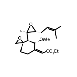 CCOC(=O)/C=C1/CC[C@]2(CO2)[C@@H]([C@@]2(C)O[C@@H]2CC=C(C)C)[C@@H]1OC